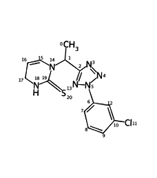 CC(c1nnn(-c2cccc(Cl)c2)n1)N1C=CCNC1=S